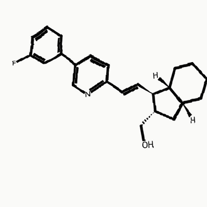 OC[C@H]1C[C@H]2CCCC[C@H]2[C@@H]1C=Cc1ccc(-c2cccc(F)c2)cn1